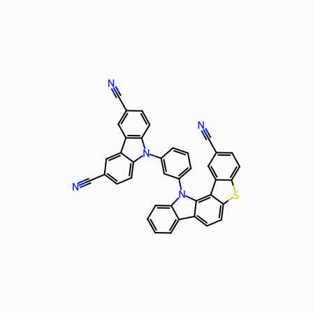 N#Cc1ccc2sc3ccc4c5ccccc5n(-c5cccc(-n6c7ccc(C#N)cc7c7cc(C#N)ccc76)c5)c4c3c2c1